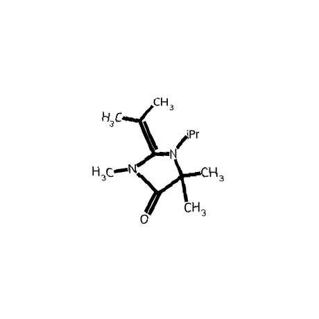 CC(C)=C1N(C)C(=O)C(C)(C)N1C(C)C